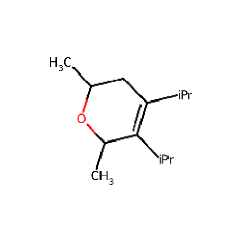 CC1CC(C(C)C)=C(C(C)C)C(C)O1